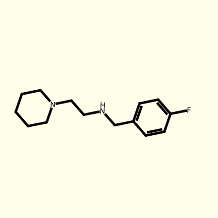 Fc1ccc(CNCCN2CCCCC2)cc1